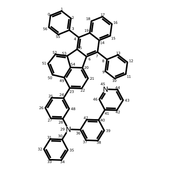 c1ccc(-c2c3c(c(-c4ccccc4)c4ccccc24)-c2ccc(-c4cccc(N(c5ccccc5)c5cccc(-c6cccnc6)c5)c4)c4cccc-3c24)cc1